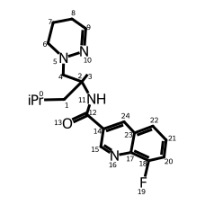 CC(C)CC(C)(CN1CCCC=N1)NC(=O)c1cnc2c(F)cccc2c1